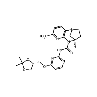 CC1(C)OC[C@@H](COc2ccnc(NC(=O)N3c4nc(C(=O)O)ccc4N4CC[C@H]3C4)n2)O1